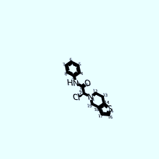 O=C(Nc1ccccc1)[C@H](Cl)N1CCc2sccc2C1